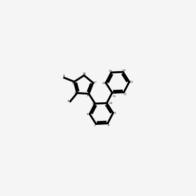 CC1=C(C)C(c2ccccc2-c2ccccc2)=CC1